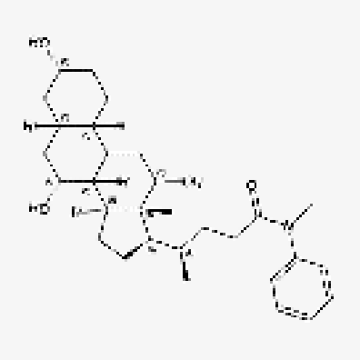 C[C@H](CCC(=O)N(C)c1ccccc1)[C@H]1CC[C@H]2[C@H]3C(C[C@H](O)[C@]12C)[C@@]1(C)CC[C@@H](O)C[C@H]1C[C@H]3O